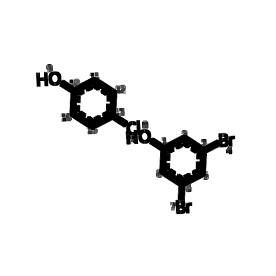 Oc1cc(Br)cc(Br)c1.Oc1ccc(Cl)cc1